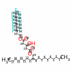 CCCCCCCCCCC(CCCCCCCC)COC(=O)CC(O)CC(=O)OCCC(F)(F)C(F)(F)C(F)(F)C(F)(F)C(F)(F)C(F)(F)F